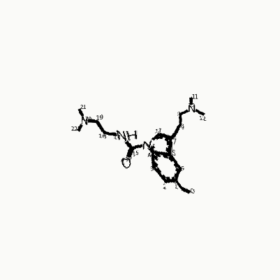 Cc1ccc2c(c1)c(CCN(C)C)cn2C(=O)NCCN(C)C